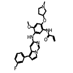 C=CC(=O)Nc1cc(Nc2cc3c(-c4cccc(F)c4)ccn3cn2)c(OC)cc1OC1CCN(C)C1